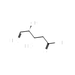 C=C[C@@H](C)[C@@H](O)CC(C)=O